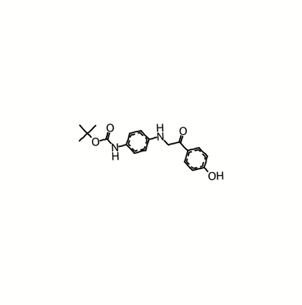 CC(C)(C)OC(=O)Nc1ccc(NCC(=O)c2ccc(O)cc2)cc1